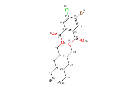 CC(C)CCCCCOC(=O)c1cc(Cl)c(Br)cc1C(=O)OCCCCCC(C)C